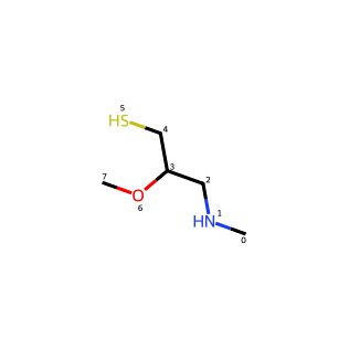 CNCC(CS)OC